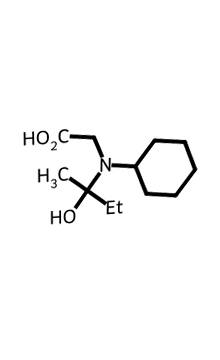 CCC(C)(O)N(CC(=O)O)C1CCCCC1